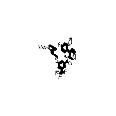 COc1cc(F)ccc1-c1ccncc1N(C)C(=O)c1cc(SCCC2CCN2)cc(C(F)(F)F)c1